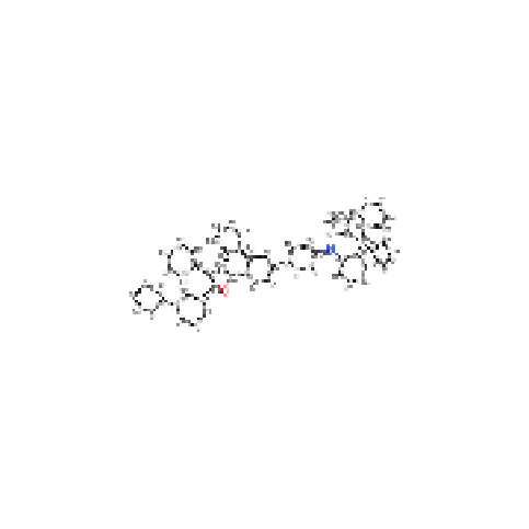 c1ccc(-c2cccc(-c3oc4c5ccc(-c6ccc(N7c8ccccc8C8(c9ccccc9-c9ccccc98)c8ccccc87)cc6)cc5c5ccccc5c4c3-c3ccccc3)c2)cc1